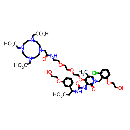 Cc1cn(Cc2c(Cl)cccc2OCCO)c(=O)c(NC(=O)NC(CC(=O)O)c2cccc(OCCO)c2)c1OCCOCCOCCNC(=O)CN1CCN(CC(=O)O)CCN(CC(=O)O)CCN(CC(=O)O)CC1